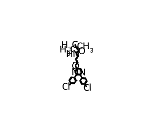 CC(C)(C)C(=O)NCCCOc1cnc(-c2ccc(Cl)cc2)c(-c2ccc(Cl)cc2)n1